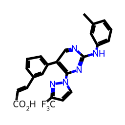 Cc1cccc(Nc2ncc(-c3cccc(/C=C/C(=O)O)c3)c(-n3ccc(C(F)(F)F)n3)n2)c1